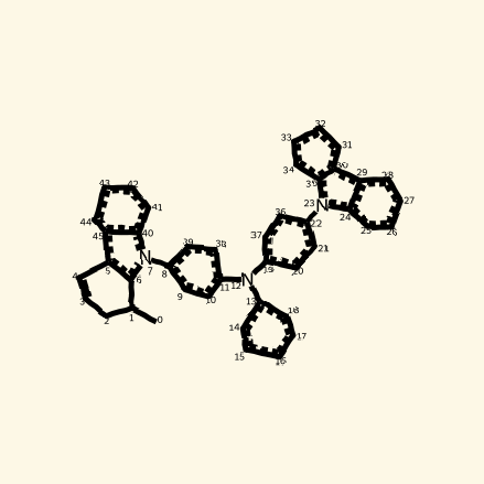 CC1CC=Cc2c1n(-c1ccc(N(c3ccccc3)c3ccc(-n4c5ccccc5c5ccccc54)cc3)cc1)c1ccccc21